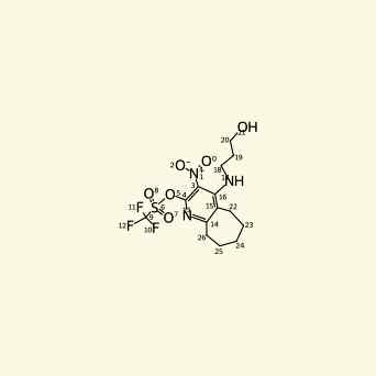 O=[N+]([O-])c1c(OS(=O)(=O)C(F)(F)F)nc2c(c1NCCCO)CCCCC2